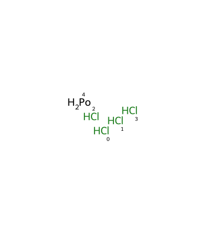 Cl.Cl.Cl.Cl.[PoH2]